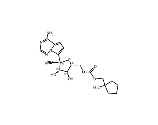 CC1(COC(=O)OC[C@H]2O[C@@](C#N)(c3ccc4c(N)ncnn34)[C@H](O)[C@@H]2O)CCCC1